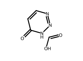 O=CO.O=c1ccnn[nH]1